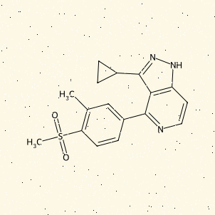 Cc1cc(-c2nccc3[nH]nc(C4CC4)c23)ccc1S(C)(=O)=O